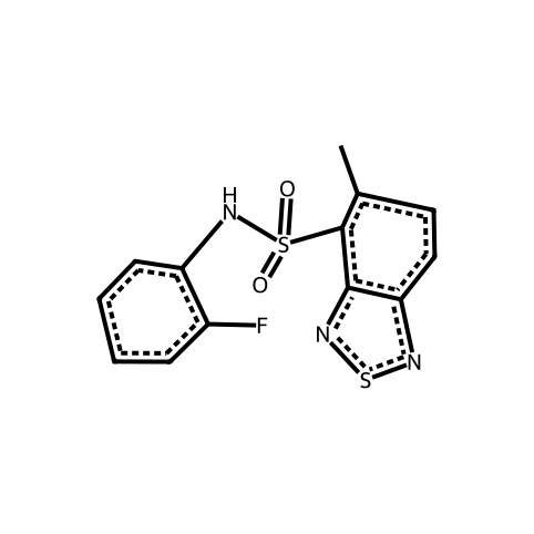 Cc1ccc2nsnc2c1S(=O)(=O)Nc1ccccc1F